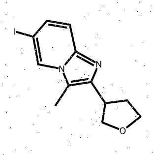 Cc1c(C2CCOC2)nc2ccc(I)cn12